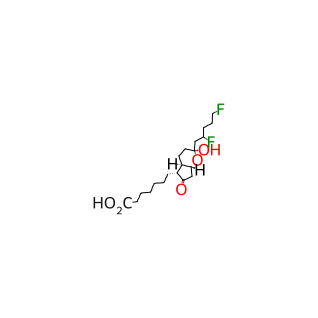 O=C(O)CCCCCC[C@H]1C(=O)C[C@H]2O[C@@](O)(CC(F)CCCF)CC[C@@H]21